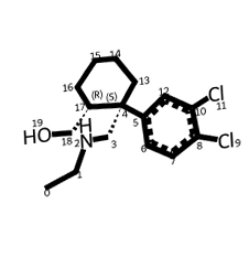 CCNC[C@@]1(c2ccc(Cl)c(Cl)c2)CCCC[C@H]1CO